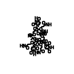 CNC(=O)CCOC1C(O)C(COP(=O)(O)C(C)(C)OC2C(CO[PH](=O)C(C)OC3C(CO)OC(n4ccc(=O)[nH]c4=O)C3OCCC(=O)NC)OC(n3ccc(=O)[nH]c3=O)C2OCCC(=O)NC)OC1n1ccc(=O)[nH]c1=O